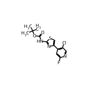 CC(C)(C)OC(=O)Nc1nc(-c2cc(F)ncc2Cl)cs1